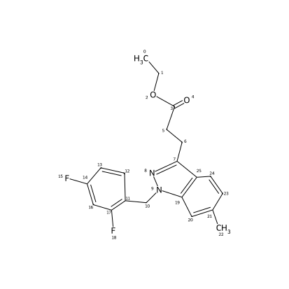 CCOC(=O)CCc1nn(Cc2ccc(F)cc2F)c2cc(C)ccc12